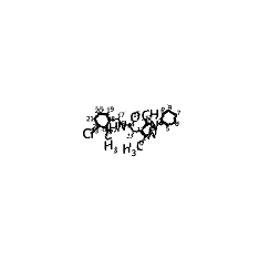 Cc1nn(-c2ccccc2)c(C)c1CC(=O)NCc1cccc(Cl)c1C